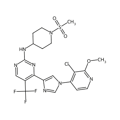 COc1nccc(-n2cnc(-c3nc(NC4CCN(S(C)(=O)=O)CC4)ncc3C(F)(F)F)c2)c1Cl